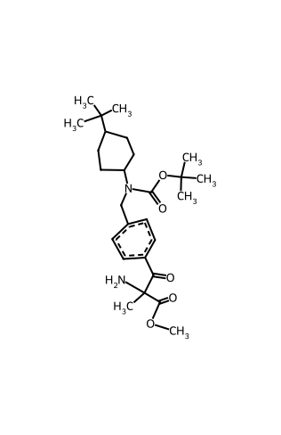 COC(=O)C(C)(N)C(=O)c1ccc(CN(C(=O)OC(C)(C)C)C2CCC(C(C)(C)C)CC2)cc1